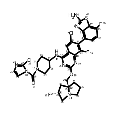 Nc1nc2c(-c3c(Cl)cc4c(NC5CCN(C(=O)n6ccnc6Cl)CC5)nc(OC[C@@]56CCCN5C[C@H](F)C6)nc4c3F)ccc(F)c2s1